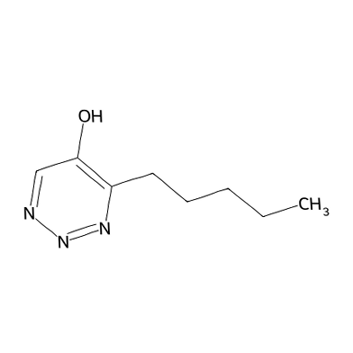 CCCCCc1nnncc1O